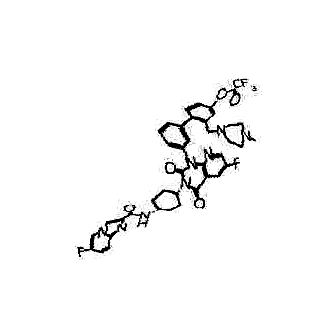 CN1CCN(Cc2cc(OC(=O)C(F)(F)F)ccc2-c2cccc(-n3c(=O)n([C@H]4CC[C@@H](NC(=O)c5cn6cc(F)ccc6n5)CC4)c(=O)c4cc(F)cnc43)c2)CC1